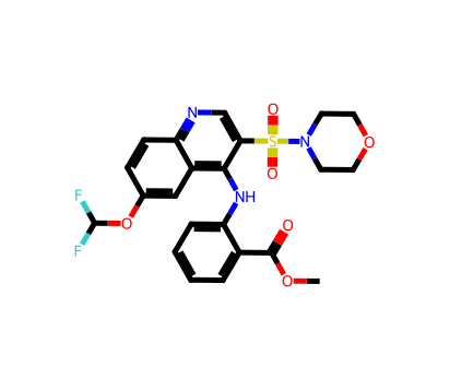 COC(=O)c1ccccc1Nc1c(S(=O)(=O)N2CCOCC2)cnc2ccc(OC(F)F)cc12